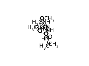 COc1ccccc1Oc1nc(Nc2cccc(C(=O)NCCN(C)C)c2)ncc1C(=O)Nc1c(C)cccc1C